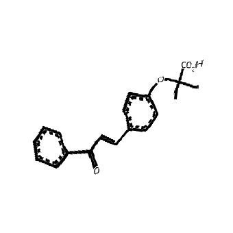 CC(C)(Oc1ccc(C=CC(=O)c2ccccc2)cc1)C(=O)O